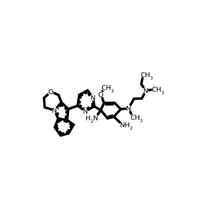 CCN(C)CCN(C)C1C=C(OC)C(N)(c2nccc(-c3c4n(c5ccccc35)CCOC4)n2)C=C1N